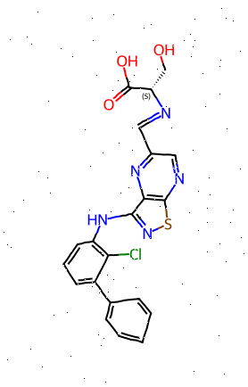 O=C(O)[C@H](CO)N=Cc1cnc2snc(Nc3cccc(-c4ccccc4)c3Cl)c2n1